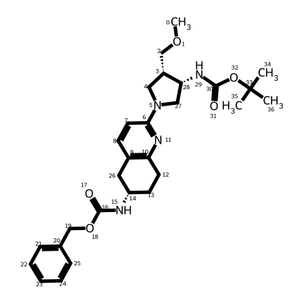 COC[C@H]1CN(c2ccc3c(n2)CC[C@H](NC(=O)OCc2ccccc2)C3)C[C@H]1NC(=O)OC(C)(C)C